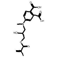 C=C(C)C(=O)OCC(O)CN(C)c1ccc(C(=O)O)c(C(=O)O)c1